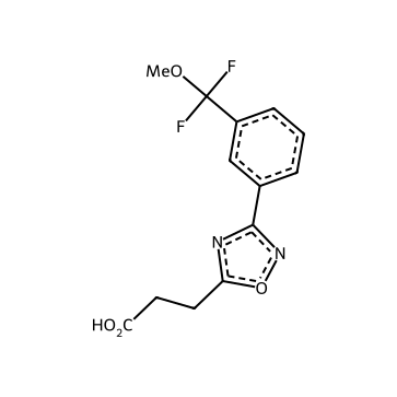 COC(F)(F)c1cccc(-c2noc(CCC(=O)O)n2)c1